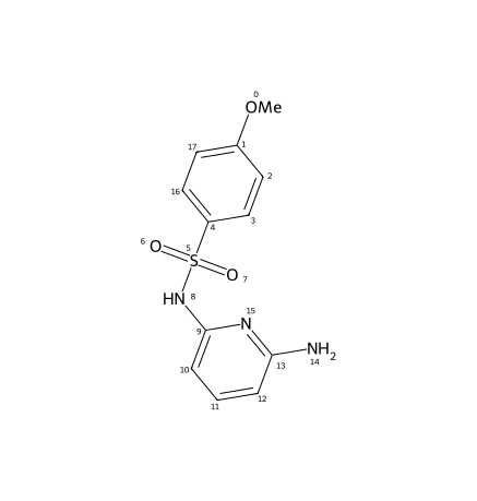 COc1ccc(S(=O)(=O)Nc2cccc(N)n2)cc1